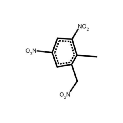 Cc1c(C[N+](=O)[O-])cc([N+](=O)[O-])cc1[N+](=O)[O-]